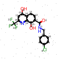 O=C(NCc1ccc(Cl)cc1)c1ccc2c(O)cc(C(F)(F)F)nc2c1O